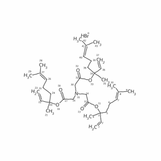 Br.C=CC(C)(CCC=C(C)C)OC(=O)CN(CC(=O)OC(C)(C=C)CCC=C(C)C)CC(=O)OC(C)(C=C)CCC=C(C)C